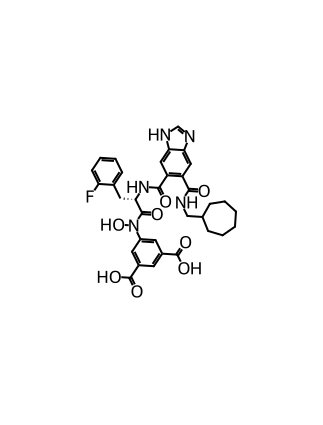 O=C(O)c1cc(C(=O)O)cc(N(O)C(=O)[C@H](Cc2ccccc2F)NC(=O)c2cc3[nH]cnc3cc2C(=O)NCC2CCCCCC2)c1